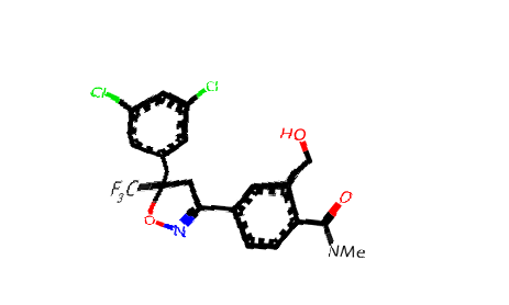 CNC(=O)c1ccc(C2=NOC(c3cc(Cl)cc(Cl)c3)(C(F)(F)F)C2)cc1CO